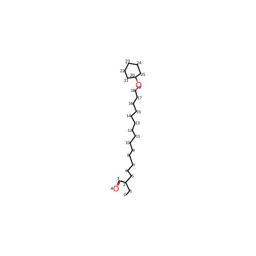 CCC([C]=O)CCCCCCCCCCCCCCOC1CC[CH]CC1